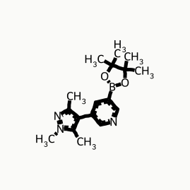 Cc1nn(C)c(C)c1-c1cncc(B2OC(C)(C)C(C)(C)O2)c1